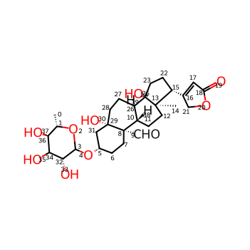 C[C@@H]1OC(O[C@H]2CC[C@]3(C=O)[C@H]4CC[C@]5(C)[C@@H](C6=CC(=O)OC6)CC[C@]5(O)[C@@H]4CC[C@]3(O)C2)[C@H](O)C(O)[C@H]1O